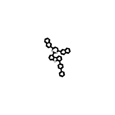 C1=C(c2ccc3ccccc3c2)N=C(c2cccc3oc4c(-c5ccc(-c6ccccc6)cc5)cccc4c23)N=C(c2ccc3ccccc3c2)C1